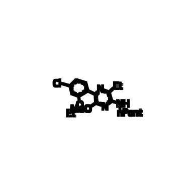 CCCCCNc1nc(OC)c(-c2ccc(Cl)cc2OCC)nc1CC